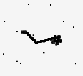 COC1=C(OC)C(=O)C(CCCCCCCCC/C=C\CCCCCCCO)=C(C)C1=O